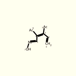 C=C/C(C(C)=O)=C(\C=N\O)C(C)=O